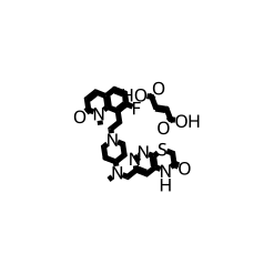 CN(Cc1cc2c(nn1)SCC(=O)N2)C1CCN(CCc2c(F)ccc3ccc(=O)n(C)c23)CC1.O=C(O)C=CC(=O)O